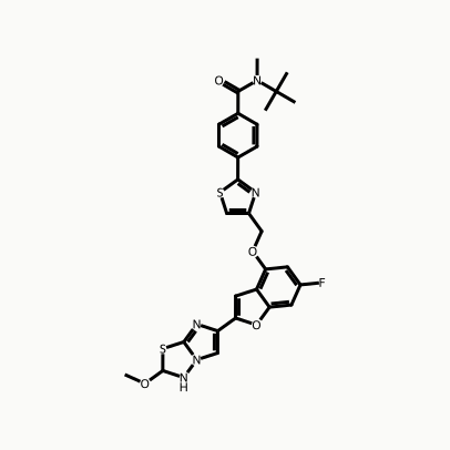 COC1Nn2cc(-c3cc4c(OCc5csc(-c6ccc(C(=O)N(C)C(C)(C)C)cc6)n5)cc(F)cc4o3)nc2S1